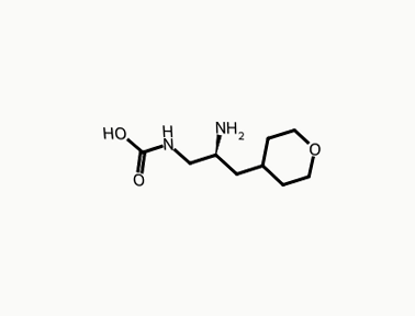 N[C@H](CNC(=O)O)CC1CCOCC1